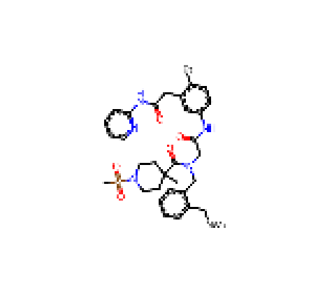 CCc1ccc(NC(=O)CN(Cc2ccccc2CNC)C(=O)C2(C)CCN(S(C)(=O)=O)CC2)cc1CC(=O)Nc1ccccn1